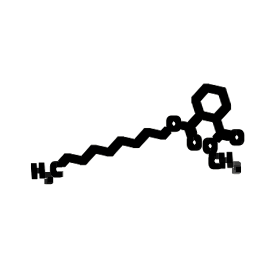 CCCCCCCCCOC(=O)C1CCCCC1C(=O)OC